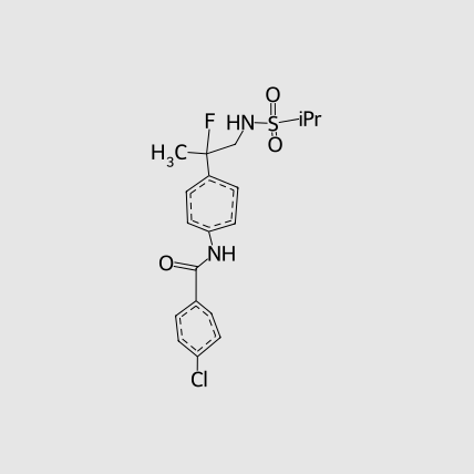 CC(C)S(=O)(=O)NCC(C)(F)c1ccc(NC(=O)c2ccc(Cl)cc2)cc1